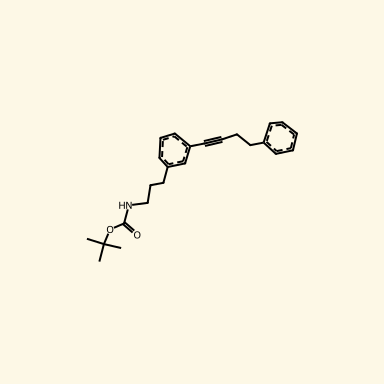 CC(C)(C)OC(=O)NCCCc1cccc(C#CCCc2ccccc2)c1